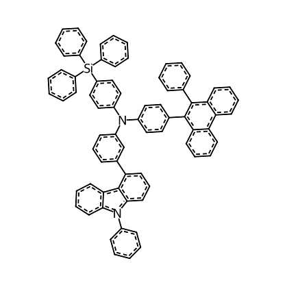 c1ccc(-c2c(-c3ccc(N(c4ccc([Si](c5ccccc5)(c5ccccc5)c5ccccc5)cc4)c4cccc(-c5cccc6c5c5ccccc5n6-c5ccccc5)c4)cc3)c3ccccc3c3ccccc23)cc1